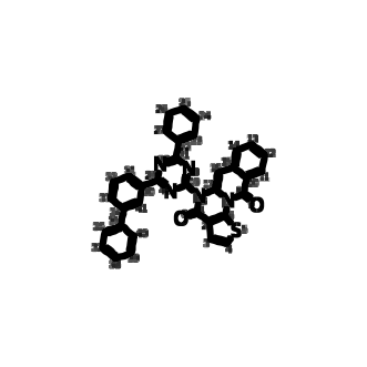 O=c1c2ccsc2n2c(=O)c3ccccc3cc2n1-c1nc(-c2ccccc2)nc(-c2cccc(-c3ccccc3)c2)n1